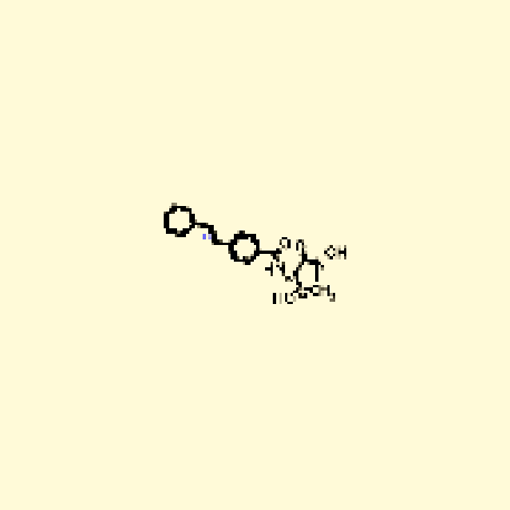 C[C@@H](O)[C@H](NC(=O)c1ccc(/C=C/c2ccccc2)cc1)C(=O)NO